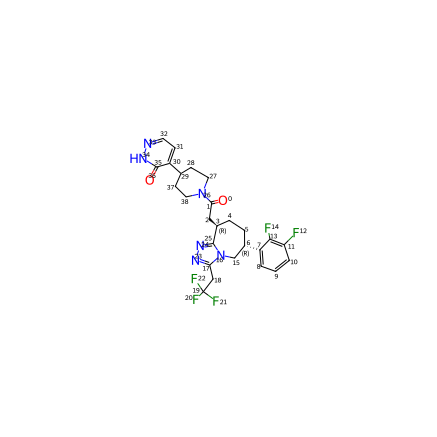 O=C(C[C@H]1CC[C@H](c2cccc(F)c2F)Cn2c(CC(F)(F)F)nnc21)N1CCC(c2ccn[nH]c2=O)CC1